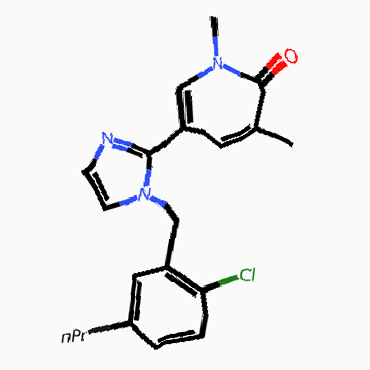 CCCc1ccc(Cl)c(Cn2ccnc2-c2cc(C)c(=O)n(C)c2)c1